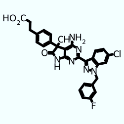 CC1(c2ccc(CCC(=O)O)cc2)C(=O)Nc2nc(-c3nn(Cc4cccc(F)c4)c4cc(Cl)ccc34)nc(N)c21